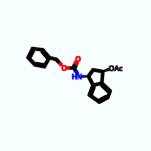 CC(=O)O[C@@H]1C[C@H](NC(=O)OCc2ccccc2)c2ccccc21